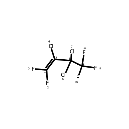 FC(F)=C(Cl)C(Cl)(Cl)C(F)(F)F